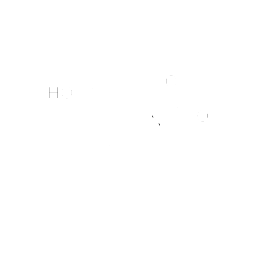 O=c1oc2ccc(O)cc2n1Cc1ccccc1